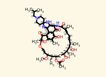 CO[C@H]1/C=C/O[C@@]2(C)Oc3c(C)c(O)c4c(c3C2=O)C2=NC3(CCN(CC(C)C)CC3)NC2=C(NC(=O)/C(C)=C/C=C/[C@H](C)[C@H](O)[C@@H](C)[C@@H](O)C[C@H](OC(C)=O)[C@@H]1C)C4=O